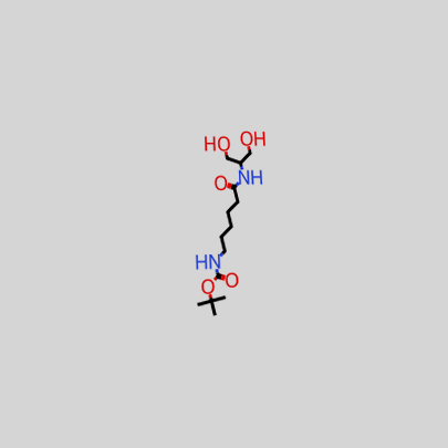 CC(C)(C)OC(=O)NCCCCCC(=O)NC(CO)CO